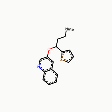 CNCCC(Oc1cnc2ccccc2c1)c1cccs1